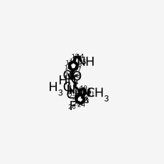 CN(C)C(CNS(=O)(=O)c1ccc2cc[nH]c2c1)c1cn(C)c2ccc(F)cc12